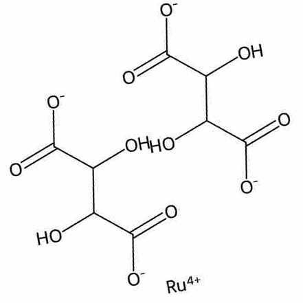 O=C([O-])C(O)C(O)C(=O)[O-].O=C([O-])C(O)C(O)C(=O)[O-].[Ru+4]